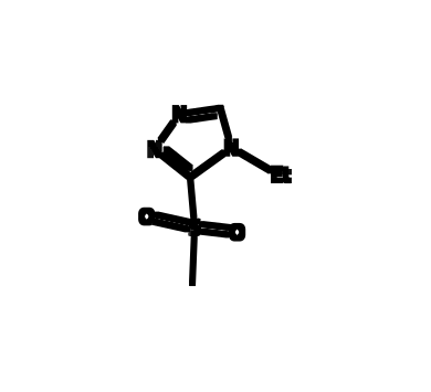 CCn1cnnc1S(C)(=O)=O